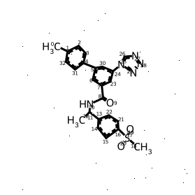 Cc1ccc(-c2cc(C(=O)NC(C)c3ccc(S(C)(=O)=O)cc3)cc(-n3cnnn3)c2)cc1